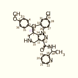 COc1ccc(/C=C2\CNCc3c(C(=O)NC(C)c4ccccn4)nn(-c4ccc(Cl)cc4Cl)c32)cc1